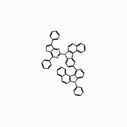 c1ccc(-c2csc3c(-c4ccccc4)nc(-n4c5ccc(-c6cccc7c6c6c8ccccc8ccc6n7-c6ccccc6)cc5c5c6ccccc6ccc54)nc23)cc1